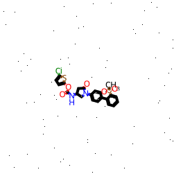 CS(=O)(=O)c1ccccc1-c1ccc(N2CC(NC(=O)Oc3ccc(Cl)s3)CC2=O)cc1